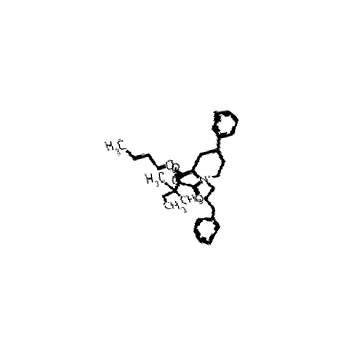 CCCCOC(=O)C1CC(c2ccccc2)CC[N+]1(CCCc1ccccc1)C(=O)C(=O)C(C)(C)CC